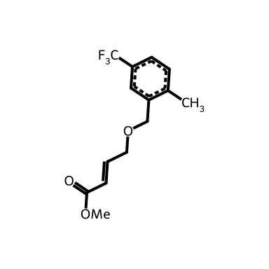 COC(=O)/C=C/COCc1cc(C(F)(F)F)ccc1C